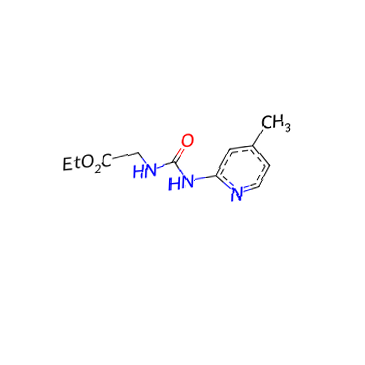 CCOC(=O)CNC(=O)Nc1cc(C)ccn1